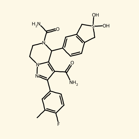 Cc1cc(-c2nn3c(c2C(N)=O)C(c2ccc4c(c2)CS(O)(O)C4)N(C(N)=O)CC3)ccc1F